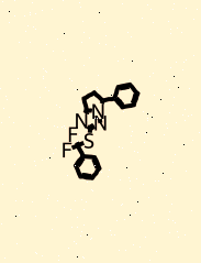 FC(F)(Sc1nc2n(n1)C(c1ccccc1)CC2)c1ccccc1